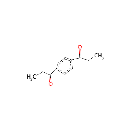 CCC(=O)c1ccc(C(=O)CC)cc1